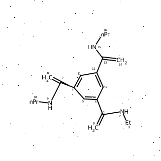 C=C(NCC)c1cc(C(=C)NCCC)cc(C(=C)NCCC)c1